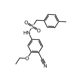 CCOc1cc(NS(=O)(=O)Cc2ccc(C)cc2)ccc1C#N